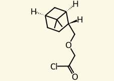 CC1(C)[C@H]2CC[C@@H](COCC(=O)Cl)[C@@H]1C2